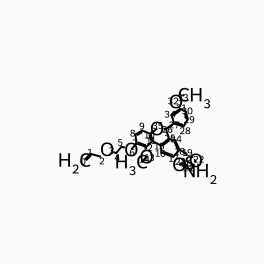 C=CCOCCOc1ccc2c(c1OC)-c1ccc(CS(N)(=O)=O)cc1C(c1cccc(OC)c1)O2